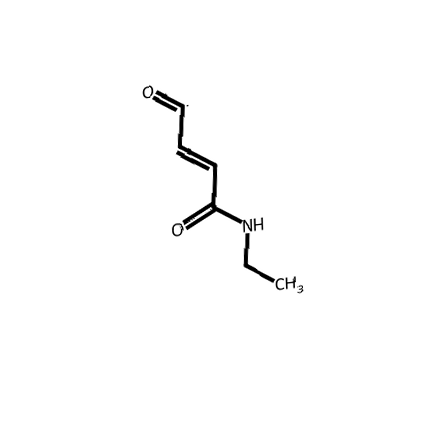 CCNC(=O)C=C[C]=O